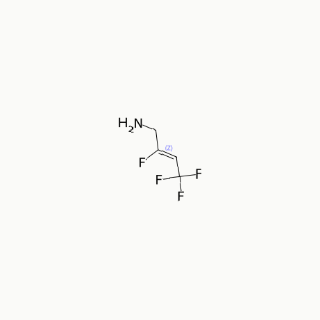 NC/C(F)=C/C(F)(F)F